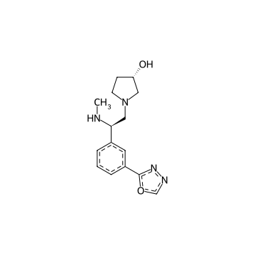 CN[C@@H](CN1CC[C@H](O)C1)c1cccc(-c2nnco2)c1